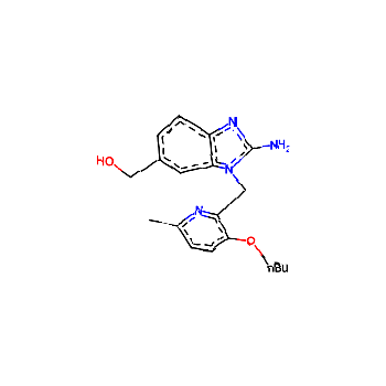 CCCCOc1ccc(C)nc1Cn1c(N)nc2ccc(CO)cc21